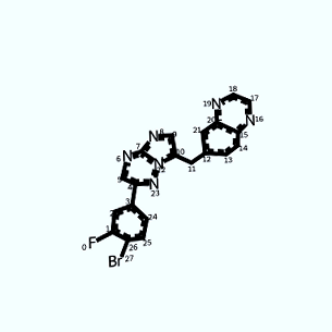 Fc1cc(-c2cnc3ncc(Cc4ccc5nccnc5c4)n3n2)ccc1Br